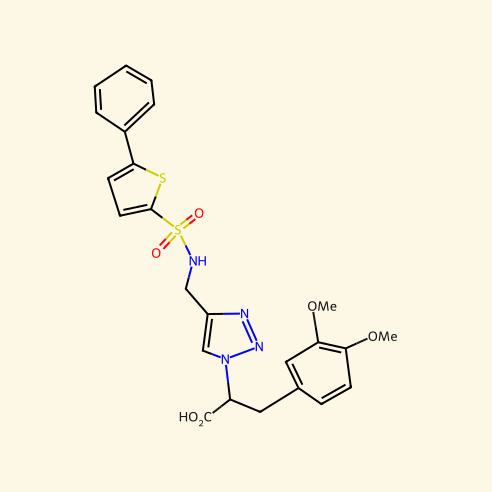 COc1ccc(CC(C(=O)O)n2cc(CNS(=O)(=O)c3ccc(-c4ccccc4)s3)nn2)cc1OC